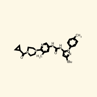 Cc1ccc(-n2nc(C(C)(C)C)cc2NC(=O)Nc2cnc(N3CCN(C(=O)C4CC4)CC3)c(C)c2)cc1